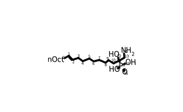 CCCCCCCCC=CCCCCCCCCC(O)(CN)P(=O)(O)O